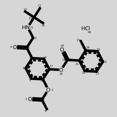 CC(=O)Oc1ccc(C(=O)CNC(C)(C)C)cc1OC(=O)c1ccccc1C.Cl